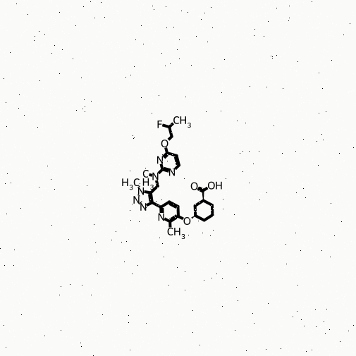 Cc1nc(-c2nnn(C)c2CN(C)c2nccc(OCC(C)F)n2)ccc1O[C@H]1CCC[C@H](C(=O)O)C1